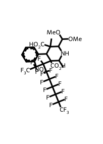 COC(OC)C1NC(C)C(C(=O)O)(C(F)(C(F)(F)C(F)(F)F)C(F)(F)C(F)(F)C(F)(F)C(F)(F)C(F)(F)C(F)(F)F)C(c2ccccc2[N+](=O)[O-])C1(C)C(=O)O